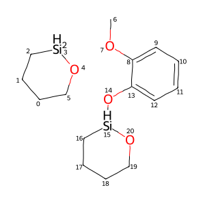 C1CC[SiH2]OC1.COc1ccccc1O[SiH]1CCCCO1